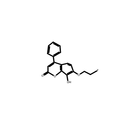 O=c1cc(-c2ccccc2)c2ccc(OCCF)c(O)c2o1